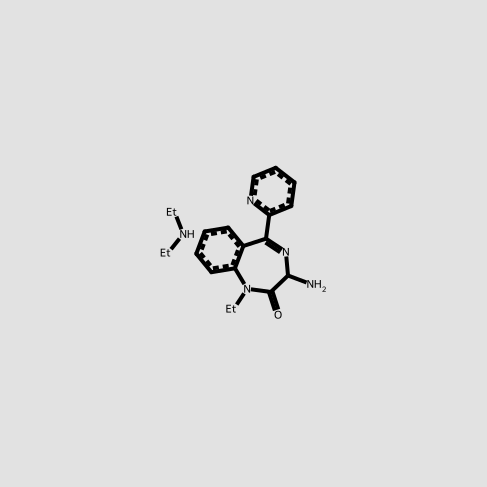 CCN1C(=O)C(N)N=C(c2ccccn2)c2ccccc21.CCNCC